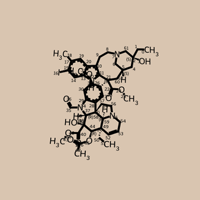 CC[C@]1(O)C[C@H]2CN(CCc3c([nH]c4cc(I)c(C)cc34)[C@@](C(=O)OC)(c3cc4c(cc3OC)N(C=O)[C@H]3[C@@](O)(C(=O)OC)[C@H](OC(C)=O)[C@]5(CC)C=CCN6CC[C@]43[C@@H]65)C2)C1